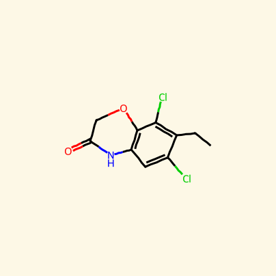 CCc1c(Cl)cc2c(c1Cl)OCC(=O)N2